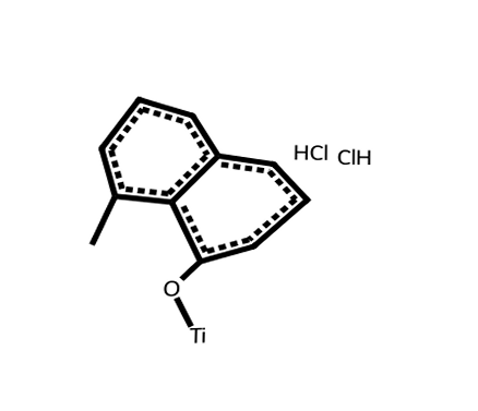 Cc1cccc2cccc([O][Ti])c12.Cl.Cl